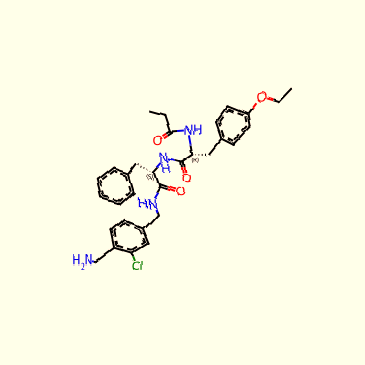 CCOc1ccc(C[C@@H](NC(=O)CC)C(=O)N[C@@H](Cc2ccccc2)C(=O)NCc2ccc(CN)c(Cl)c2)cc1